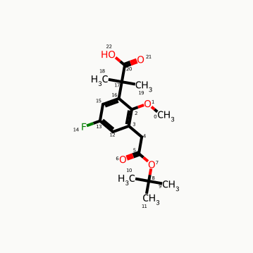 COc1c(CC(=O)OC(C)(C)C)cc(F)cc1C(C)(C)C(=O)O